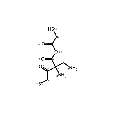 NCC(N)(C(=O)CS)C(=O)OC(=O)CS